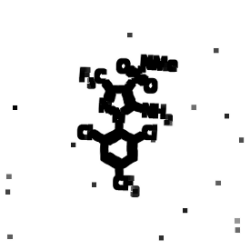 CNS(=O)(=O)c1c(C(F)(F)F)nn(-c2c(Cl)cc(C(F)(F)F)cc2Cl)c1N